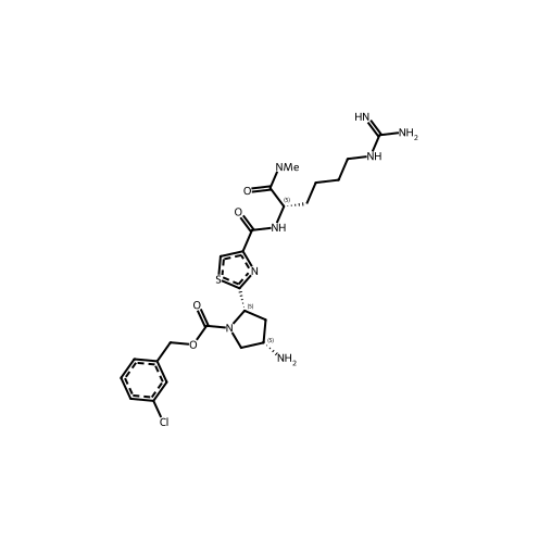 CNC(=O)[C@H](CCCCNC(=N)N)NC(=O)c1csc([C@@H]2C[C@H](N)CN2C(=O)OCc2cccc(Cl)c2)n1